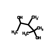 [CH2]C(C(C)O)C(C)(C)O